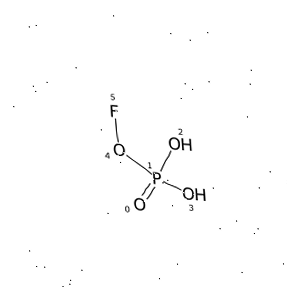 O=P(O)(O)OF